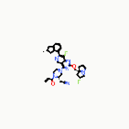 C=CC(=O)N1CCN(c2nc(OC[C@@]34CCCN3C[C@H](F)C4)nc3c(F)c(-c4cccc5c4C[C@H](C)C5)ncc23)C[C@@H]1CC#N